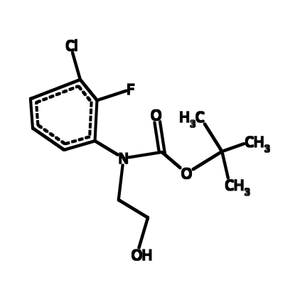 CC(C)(C)OC(=O)N(CCO)c1cccc(Cl)c1F